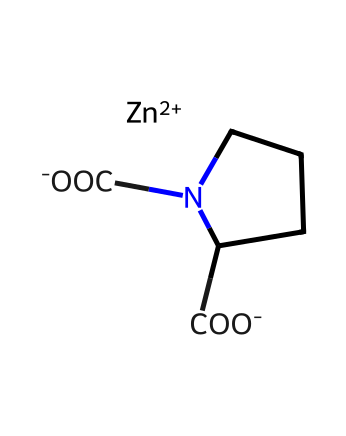 O=C([O-])C1CCCN1C(=O)[O-].[Zn+2]